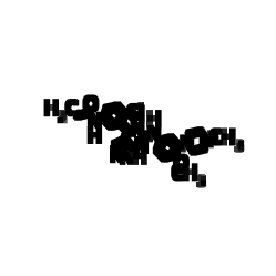 C=CC(=O)Nc1ccc(Cl)c(C2NC(Nc3ccc(OC)c(N4CCN(C)CC4)c3)=Nc3[nH]ncc32)c1